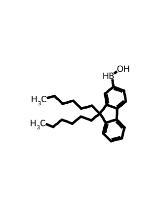 CCCCCCC1(CCCCCC)c2ccccc2-c2ccc(BO)cc21